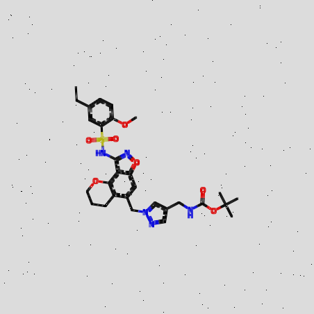 CCc1ccc(OC)c(S(=O)(=O)Nc2noc3cc(Cn4cc(CNC(=O)OC(C)(C)C)cn4)c4c(c23)OCCC4)c1